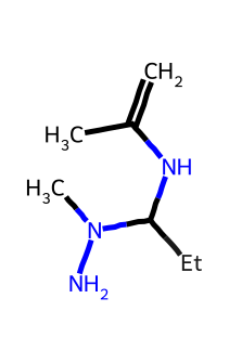 C=C(C)NC(CC)N(C)N